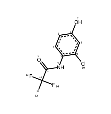 O=C(Nc1ccc(O)cc1Cl)C(F)(F)F